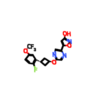 Oc1cc(-c2cnc(O[C@H]3C[C@@H](c4cc(OC(F)(F)F)ccc4F)C3)cn2)on1